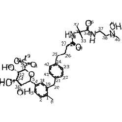 Cc1ccc([C@@H]2O[C@H](S(C)(=O)=O)[C@@H](O)[C@H](O)[C@H]2O)cc1Cc1ccc(CCCC(=O)NC(C)(C)C(=O)NCCN(C)O)cc1